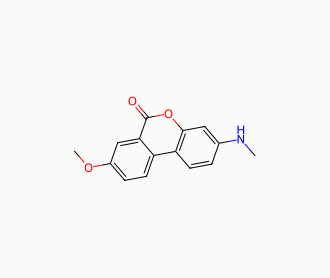 CNc1ccc2c(c1)oc(=O)c1cc(OC)ccc12